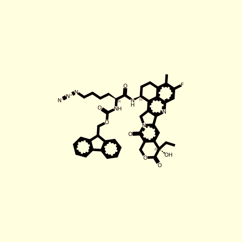 CC[C@@]1(O)C(=O)OCc2c1cc1n(c2=O)Cc2c-1nc1cc(F)c(C)c3c1c2[C@@H](NC(=O)[C@H](CCCCN=[N+]=[N-])NC(=O)OCC1c2ccccc2-c2ccccc21)CC3